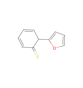 S=C1[C]=CC=CC1c1ccco1